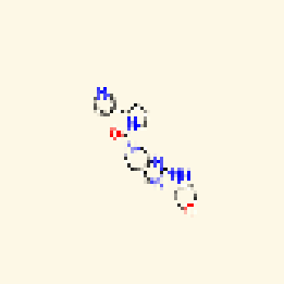 O=C(N1CCc2cnc(NC3CCOCC3)nc2C1)N1CCCC1c1cccnc1